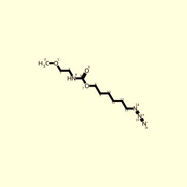 COCCNC(=O)OCCCCCCN=[N+]=[N-]